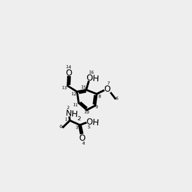 CC(N)C(=O)O.COc1cccc(C=O)c1O